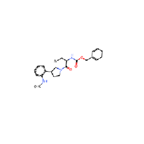 CC(C)CC(NC(=O)OCC1=CCCC=C1)C(=O)N1CCC(c2ccccc2NC=O)C1